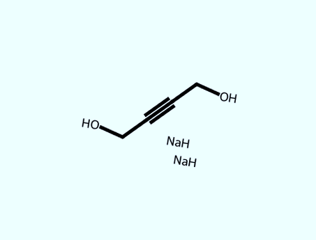 OCC#CCO.[NaH].[NaH]